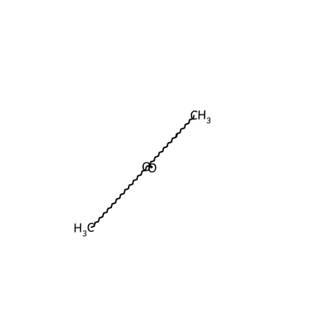 CCCCCCCCC=CCCCCCCCCCCCC(=O)OCCCCCCCCCCCCCCCCCCCCCCCCCC